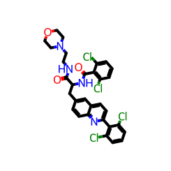 O=C(NC(Cc1ccc2nc(-c3c(Cl)cccc3Cl)ccc2c1)C(=O)NCCN1CCOCC1)c1c(Cl)cccc1Cl